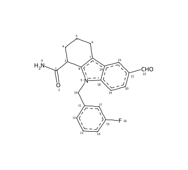 NC(=O)C1C[C]Cc2c1n(Cc1cccc(F)c1)c1ccc(C=O)cc21